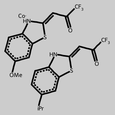 CC(C)c1ccc2c(c1)SC(=CC(=O)C(F)(F)F)N2.COc1ccc2c(c1)SC(=CC(=O)C(F)(F)F)N2.[Co]